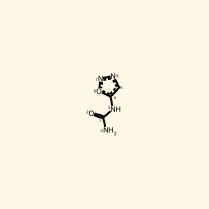 NC(=O)Nc1cnno1